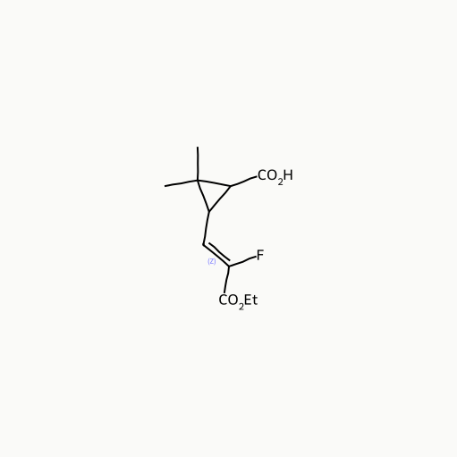 CCOC(=O)/C(F)=C/C1C(C(=O)O)C1(C)C